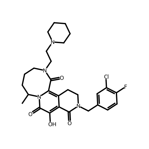 CC1CCCN(CCN2CCCCC2)C(=O)c2c3c(c(O)c(=O)n21)C(=O)N(Cc1ccc(F)c(Cl)c1)CC3